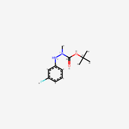 CN(Nc1cccc(F)c1)C(=O)OC(C)(C)C